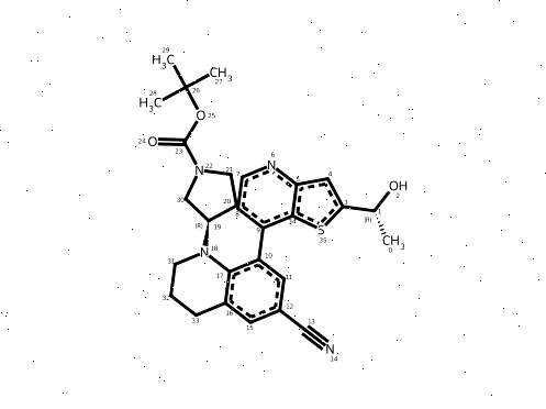 C[C@@H](O)c1cc2nccc(-c3cc(C#N)cc4c3N([C@@H]3CCN(C(=O)OC(C)(C)C)C3)CCC4)c2s1